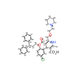 CC1=C(C(=O)O)C(c2cccc(Cl)c2)C(C(=O)OCCC(c2ccccc2)c2ccccc2)=C(COCCN2CCCCC2)N1